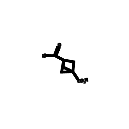 O=C(O)C12CC(C(=O)Cl)(C1)C2